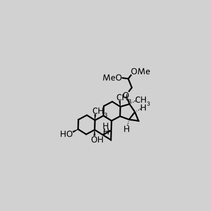 COC(CO[C@@]1(C)[C@H]2C[C@H]2C2C3C(CC[C@@]21C)[C@@]1(C)CC[C@H](O)C[C@@]1(O)[C@@H]1C[C@H]31)OC